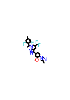 COc1cc(-c2nnc3n(C(C)c4c(F)cc(C)cc4F)cc(C(F)F)cc2-3)ccc1-n1cnc(C)c1